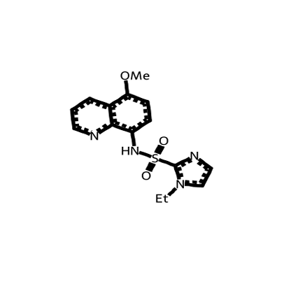 CCn1ccnc1S(=O)(=O)Nc1ccc(OC)c2cccnc12